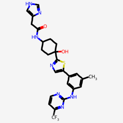 Cc1cc(Nc2nccc(C(F)(F)F)n2)cc(-c2cnc(C3(O)CCC(NC(=O)Cc4c[nH]cn4)CC3)s2)c1